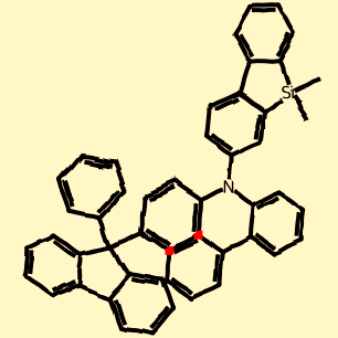 C[Si]1(C)c2ccccc2-c2ccc(N(c3ccc(C4(c5ccccc5)c5ccccc5-c5ccccc54)cc3)c3ccccc3-c3ccccc3)cc21